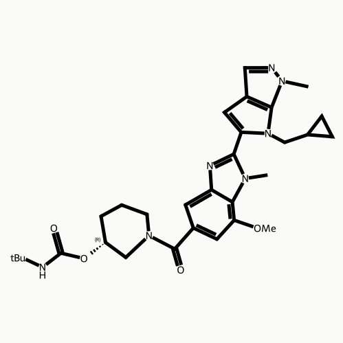 COc1cc(C(=O)N2CCC[C@@H](OC(=O)NC(C)(C)C)C2)cc2nc(-c3cc4cnn(C)c4n3CC3CC3)n(C)c12